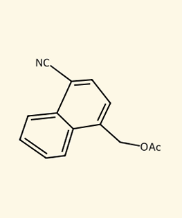 CC(=O)OCc1ccc(C#N)c2ccccc12